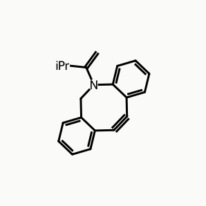 C=C(C(C)C)N1Cc2ccccc2C#Cc2ccccc21